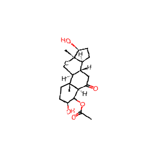 CC(=O)OC1[C@@H](O)CC[C@@]2(C)[C@H]1C(=O)C[C@@H]1[C@@H]2CC[C@]2(C)[C@@H](O)CC[C@@H]12